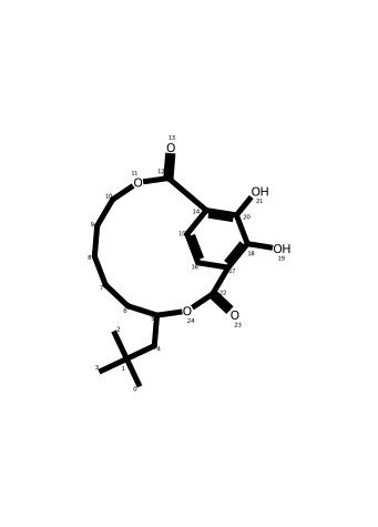 CC(C)(C)CC1CCCCCOC(=O)c2ccc(c(O)c2O)C(=O)O1